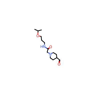 CC(C)OCCCNC(=O)CN1CCC(C=O)CC1